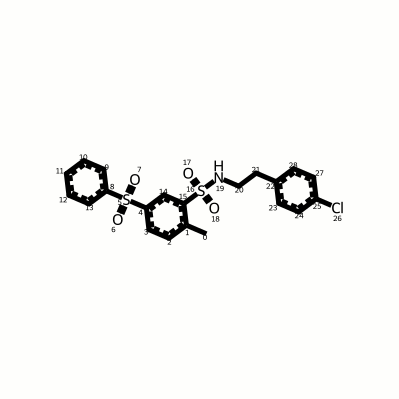 Cc1ccc(S(=O)(=O)c2ccccc2)cc1S(=O)(=O)NCCc1ccc(Cl)cc1